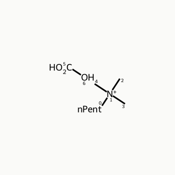 CCCCC[N+](C)(C)C.O=C(O)O